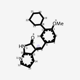 COc1ccc(/C=C2\C(=O)Nc3ncccc32)cc1C1CCCCC1